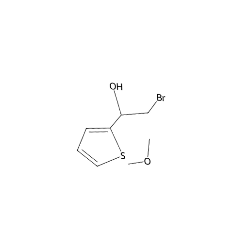 COC.OC(CBr)c1cccs1